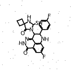 O=C1N(C2c3n[nH]c(=O)c4cc(F)cc(c34)NC2c2ccc(F)cc2)C(S)NC12CCC2